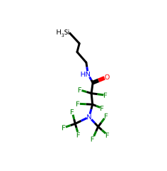 O=C(NCCC[SiH3])C(F)(F)C(F)(F)N(C(F)(F)F)C(F)(F)F